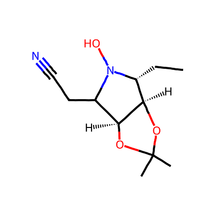 CC[C@@H]1[C@H]2OC(C)(C)O[C@H]2C(CC#N)N1O